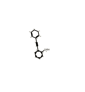 COc1ccccc1C#CC1=CCCC=C1